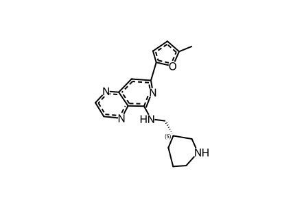 Cc1ccc(-c2cc3nccnc3c(NC[C@H]3CCCNC3)n2)o1